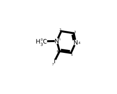 CN1CC=NC=C1I